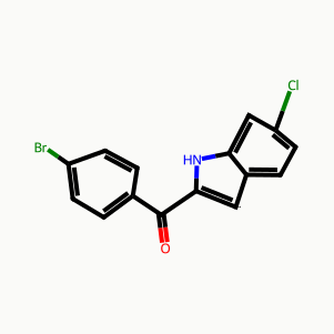 O=C(c1ccc(Br)cc1)c1[c]c2ccc(Cl)cc2[nH]1